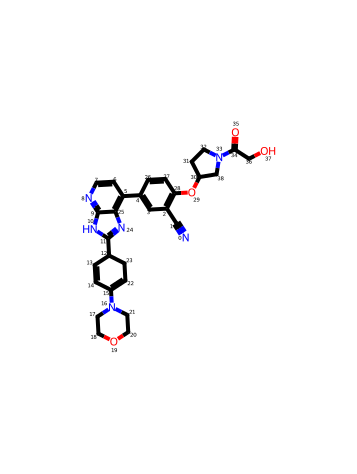 N#Cc1cc(-c2ccnc3[nH]c(C4C=CC(N5CCOCC5)=CC4)nc23)ccc1OC1CCN(C(=O)CO)C1